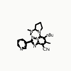 CCCCc1c(C)c(C#N)c2nc(-c3cccnc3)nn2c1N1CCCC1N(C)C